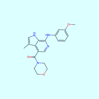 COc1cccc(Nc2ncc(C(=O)N3CCOCC3)c3c(C)c[nH]c23)c1